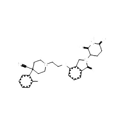 N#CC1(c2ccccc2Cl)CCN(CCOc2cccc3c2CN(C2CCC(=O)NC2=O)C3=O)CC1